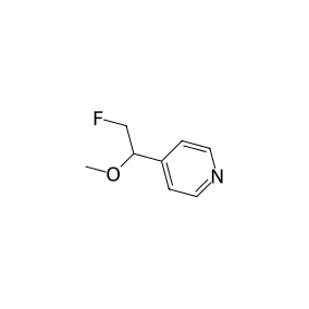 COC(CF)c1ccncc1